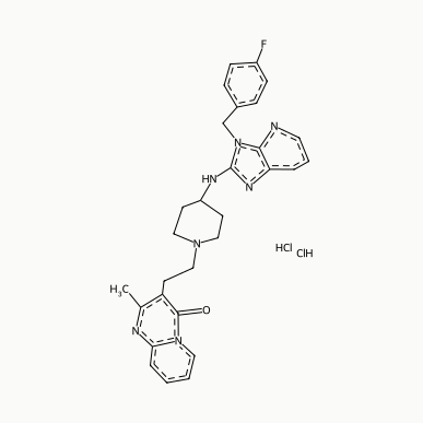 Cc1nc2ccccn2c(=O)c1CCN1CCC(Nc2nc3cccnc3n2Cc2ccc(F)cc2)CC1.Cl.Cl